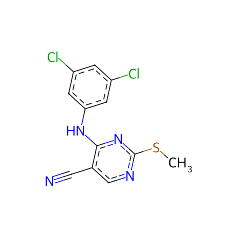 CSc1ncc(C#N)c(Nc2cc(Cl)cc(Cl)c2)n1